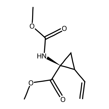 C=CC1C[C@@]1(NC(=O)OC)C(=O)OC